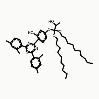 CCCCCCCCCCOC(OCCCCCCCCCC)(Oc1ccc(-c2nc(-c3ccc(C)cc3C)nc(-c3ccc(C)cc3C)n2)c(O)c1)C(C)O